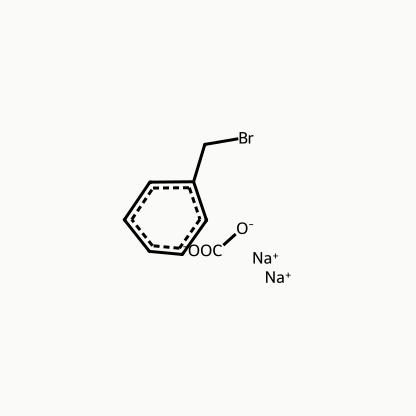 BrCc1ccccc1.O=C([O-])[O-].[Na+].[Na+]